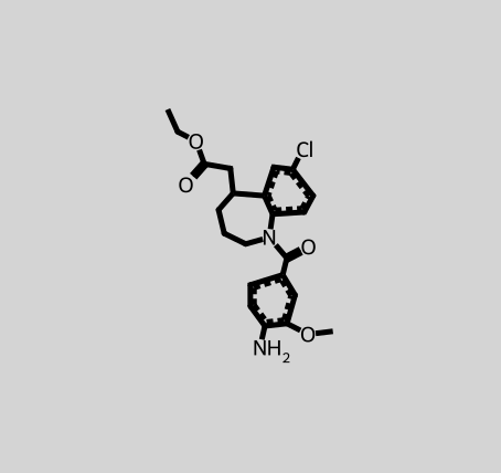 CCOC(=O)CC1CCCN(C(=O)c2ccc(N)c(OC)c2)c2ccc(Cl)cc21